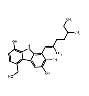 CCC(C)CC/C(C)=C/c1c(C)c(O)cc2c1[nH]c1c(O)ccc(CO)c12